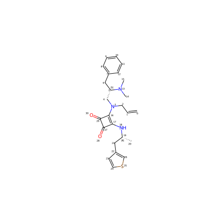 C=CCN(C[C@H](Cc1ccccc1)N(C)C)c1c(N[C@H](C)Cc2ccsc2)c(=O)c1=O